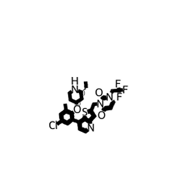 CC[C@@H]1C[C@H](Oc2c(C)cc(Cl)cc2-c2ccnc3cc(Cn4c(=O)ccn(CC(F)(F)F)c4=O)sc23)CCN1